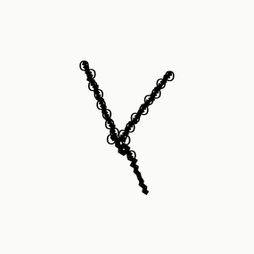 CCCCCCCCCCCCOc1ccc(C=C(C(=O)OCCOCCOCCOCCOCCOCCOCCOC)C(=O)OCCOCCOCCOCCOCCOCCOCCOC)cc1